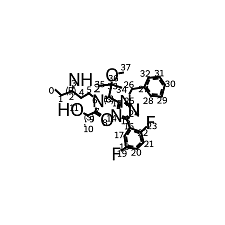 CC[C@@H](N)CCN(C(=O)[C@H](C)O)[C@@H](c1nc(-c2cc(F)ccc2F)nn1Cc1ccccc1)C(C)(C)OC